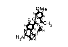 COc1ccc(C(C)N(C(=O)c2cc3c(cc2F)nc(N)c2cncn23)C2CC2)nc1